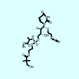 CC(C)OC(=O)C(C)NP(=O)(OCCSC(=O)C(C)(C)CO)OC[C@@H](O)[C@@H](F)[C@@H](OCCN=[N+]=[N-])n1ccc(=O)[nH]c1=O